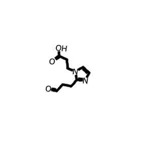 O=CCCc1nccn1CCC(=O)O